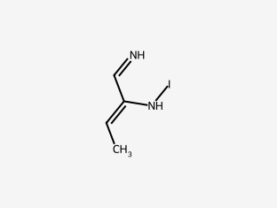 CC=C(C=N)NI